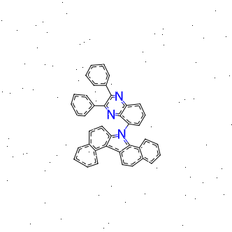 c1ccc(-c2nc3cccc(-n4c5ccc6ccccc6c5c5ccc6ccccc6c54)c3nc2-c2ccccc2)cc1